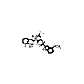 COc1cccc2[nH]c(C(=O)N[C@@H](CC(C)C)C(=O)N[C@H](C#N)C[C@@H]3CCCNC3O)cc12